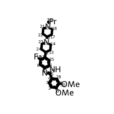 COc1ccc(-c2nc3cc(F)c(C4CCN(C5CCN(C(C)C)CC5)CC4)cc3[nH]2)cc1OC